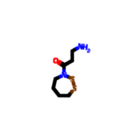 NCCC(=O)N1CCCCSS1